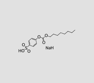 CCCCCCCCOC(=O)Oc1ccc(S(=O)(=O)O)cc1.[NaH]